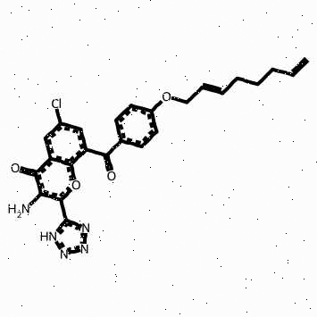 C=CCCC/C=C/COc1ccc(C(=O)c2cc(Cl)cc3c(=O)c(N)c(-c4nnn[nH]4)oc23)cc1